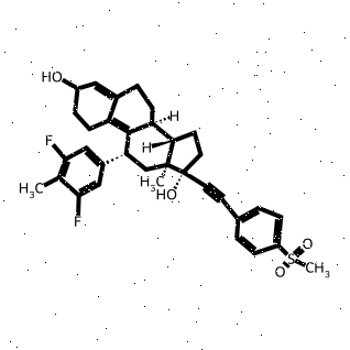 Cc1c(F)cc([C@H]2C[C@@]3(C)[C@@H](CC[C@@]3(O)C#Cc3ccc(S(C)(=O)=O)cc3)[C@@H]3CCC4=CC(O)CCC4=C32)cc1F